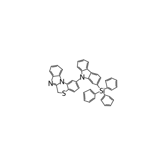 c1ccc([Si](c2ccccc2)(c2ccccc2)c2ccc3c4ccccc4n(-c4ccc5c(c4)-n4c(nc6ccccc64)CS5)c3c2)cc1